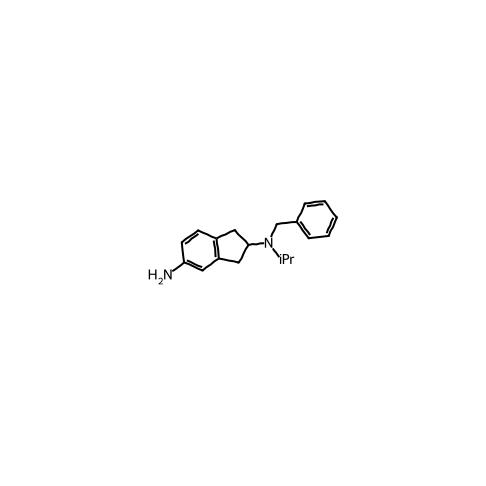 CC(C)N(Cc1ccccc1)C1Cc2ccc(N)cc2C1